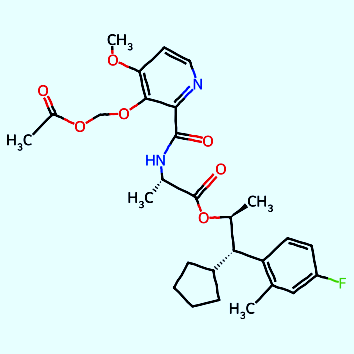 COc1ccnc(C(=O)N[C@@H](C)C(=O)O[C@@H](C)[C@H](c2ccc(F)cc2C)C2CCCC2)c1OCOC(C)=O